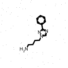 NCCCCn1cnc(-c2ccccc2)n1